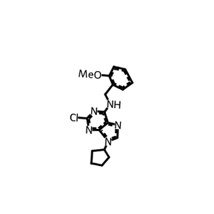 COc1ccccc1CNc1nc(Cl)nc2c1ncn2C1CCCC1